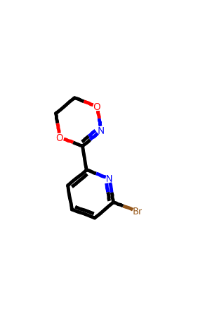 Brc1cccc(C2=NOCCO2)n1